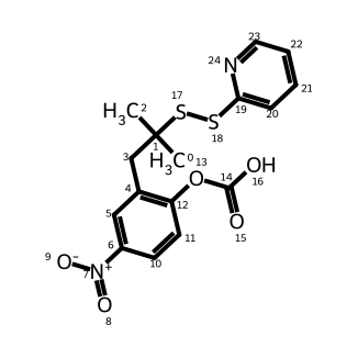 CC(C)(Cc1cc([N+](=O)[O-])ccc1OC(=O)O)SSc1ccccn1